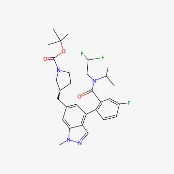 CC(C)N(CC(F)F)C(=O)c1cc(F)ccc1-c1cc(C[C@@H]2CCN(C(=O)OC(C)(C)C)C2)cc2c1cnn2C